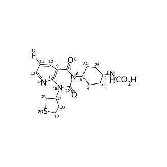 O=C(O)NC1CCC(n2c(=O)c3cc(F)cnc3n(C3CCSC3)c2=O)CC1